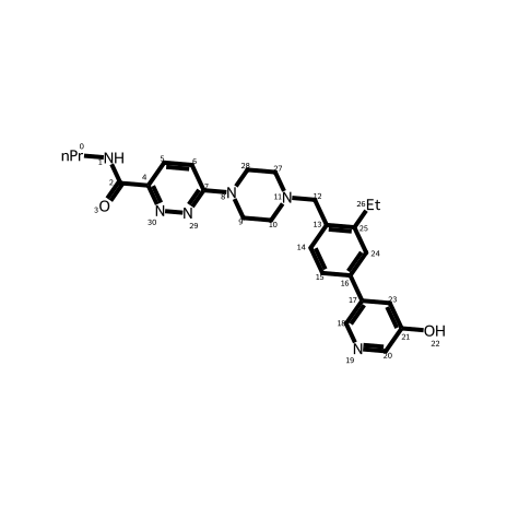 CCCNC(=O)c1ccc(N2CCN(Cc3ccc(-c4cncc(O)c4)cc3CC)CC2)nn1